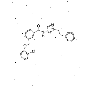 O=C(Nc1cnn(CCc2ccccc2)c1)c1cccc(COc2ccccc2Cl)c1